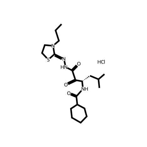 CCCN1CCSC1=NNC(=O)C(=O)[C@H](CC(C)C)NC(=O)C1CCCCC1.Cl